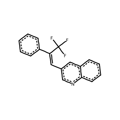 FC(F)(F)C(=Cc1cnc2ccccc2c1)c1ccccc1